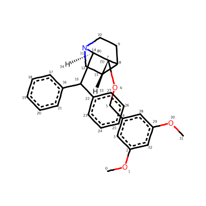 COc1cc(CO[C@H]2C3CCN(CC3)[C@@H]2C(c2ccccc2)c2ccccc2)cc(OC)c1